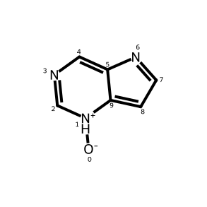 [O-][NH+]1C=NC=C2N=CC=C21